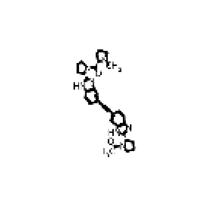 CC(=O)N1CCC[C@H]1c1nc2ccc(C#Cc3ccc4[nH]c([C@@H]5CCCN5C(=O)[C@H]5CCCN5C)nc4c3)cc2[nH]1